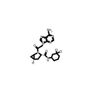 Nc1ncnc2c1ncn2CC(=O)N1C2C[C@@H]2C[C@H]1C(=O)NC1CCCC(Cl)(Cl)C1